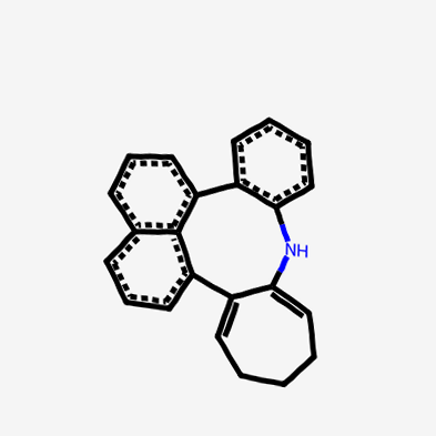 C1=C2Nc3ccccc3-c3cccc4cccc(c34)C2=CCCC1